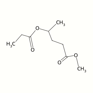 CCC(=O)OC(C)CCC(=O)OC